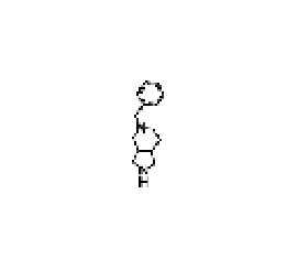 c1ccc(CN2CCC3CNCC3C2)cc1